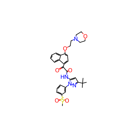 CC(C)(C)c1cc(NC(=O)C(=O)c2ccc(OCCN3CCOCC3)c3ccccc23)n(-c2cccc(S(C)(=O)=O)c2)n1